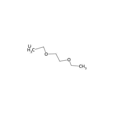 CCOCCOCC.[Li]